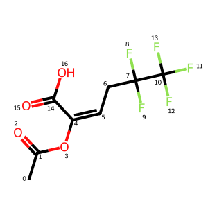 CC(=O)OC(=CCC(F)(F)C(F)(F)F)C(=O)O